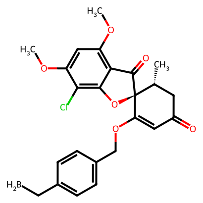 BCc1ccc(COC2=CC(=O)C[C@@H](C)[C@]23Oc2c(Cl)c(OC)cc(OC)c2C3=O)cc1